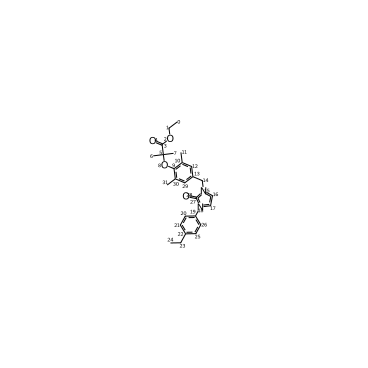 CCOC(=O)C(C)(C)Oc1c(C)cc(Cn2ccn(-c3ccc(CC)cc3)c2=O)cc1C